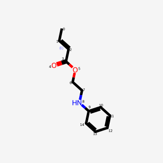 C/C=C/C(=O)OCCNc1ccccc1